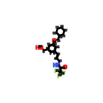 O=C(NC/C=C/c1cc(CO)cc(OCC2CCCCC2)c1)C(F)(F)F